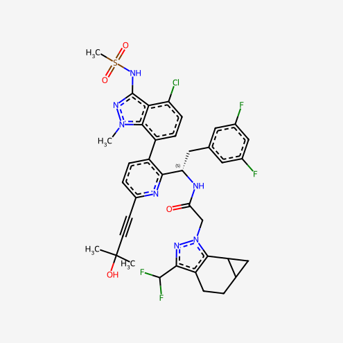 Cn1nc(NS(C)(=O)=O)c2c(Cl)ccc(-c3ccc(C#CC(C)(C)O)nc3[C@H](Cc3cc(F)cc(F)c3)NC(=O)Cn3nc(C(F)F)c4c3C3CC3CC4)c21